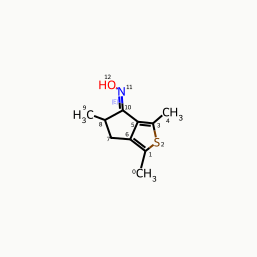 Cc1sc(C)c2c1CC(C)/C2=N\O